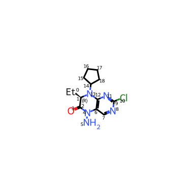 CC[C@@H]1C(=O)N(N)c2cnc(Cl)nc2N1C1CCCC1